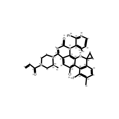 C=CC(=O)N1CCN(c2nc(=O)n(-c3c(C)ccnc3C(C)C)c3c4c(c(Cl)cc23)-c2c(ccc(C)c2F)C2(CC2)O4)[C@@H](C)C1